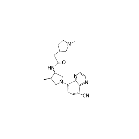 C[C@@H]1CN(c2ccc(C#N)c3nccnc23)C[C@@H]1NC(=O)CC1CCN(C)C1